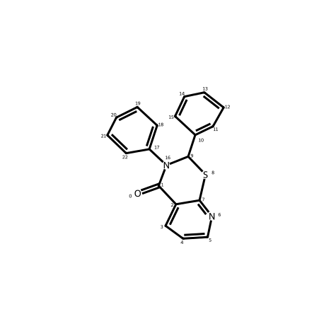 O=C1c2cccnc2SC(c2ccccc2)N1c1ccccc1